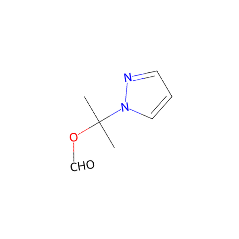 CC(C)(OC=O)n1cccn1